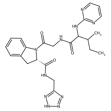 CCC(C)C(Nc1ncccn1)C(=O)NCC(=O)N1c2ccccc2C[C@H]1C(=O)NCc1nn[nH]n1